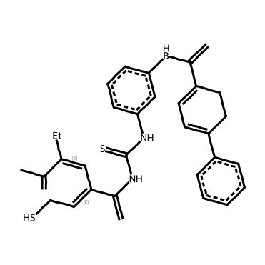 C=C(Bc1cccc(NC(=S)NC(=C)C(/C=C(/CC)C(=C)C)=C/CS)c1)C1=CC=C(c2ccccc2)CC1